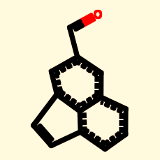 O=Cc1cc2c3c(cccc3c1)C=C2